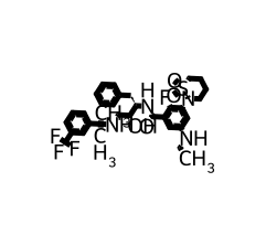 CCNc1cc(C(=O)N[C@@H](Cc2ccccc2)[C@H](O)CNC(C)(C)c2cccc(C(F)(F)F)c2)c(F)c(N2CCCCS2(=O)=O)c1